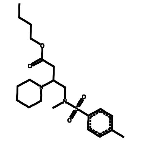 CCCCOC(=O)CC(CN(C)S(=O)(=O)c1ccc(C)cc1)N1CCCCC1